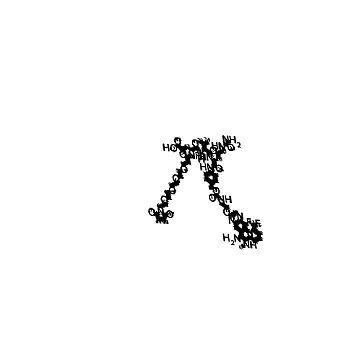 CN/C(=C(\N)c1ccc2ncc(OCCNC(=O)OCc3ccc(NC(=O)[C@H](CCCNC(N)=O)NC(=O)[C@@H](NC(=O)[C@H](CCC(=O)O)NC(=O)CCOCCOCCOCCOCCN4C(=O)C=CC4=O)C(C)C)cc3)nc2c1)c1cccc(C(F)F)n1